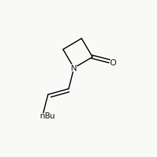 CCCCC=CN1CCC1=O